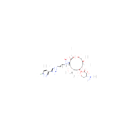 CC[C@H]1OC(=O)[C@H](C)C(=O)[C@H](C)[C@@H](O[C@@H]2O[C@H](C)C[C@H](N(C)C)[C@H]2O)[C@@](C)(OC)C[C@@H](C)C(=O)[C@H](C)[C@H]2N(CCCCn3cnc(-c4ccc(Cl)nc4)c3C)C(=O)O[C@]12C